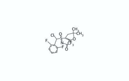 CC1(C)CC(S(=O)(=NC(=O)C(F)(F)F)C(Cl)c2c(F)cccc2F)=NO1